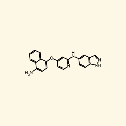 Nc1ccc(Oc2ccnc(Nc3ccc4[nH]ncc4c3)c2)c2ccccc12